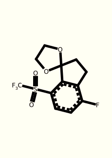 O=S(=O)(c1ccc(F)c2c1C1(CC2)OCCO1)C(F)(F)F